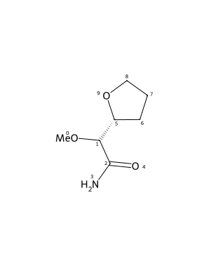 COC(C(N)=O)[C@H]1CCCO1